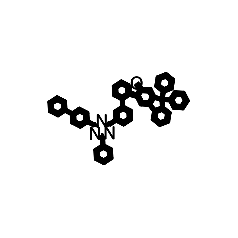 c1ccc(-c2ccc(-c3nc(-c4ccccc4)nc(-c4cccc(-c5cccc6oc7cc8c(cc7c56)-c5ccccc5C8(c5ccccc5)c5ccccc5)c4)n3)cc2)cc1